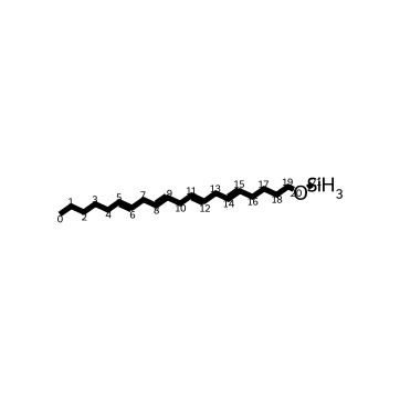 CCCCCC=CCC=CCC=CCC=CCCCCO[SiH3]